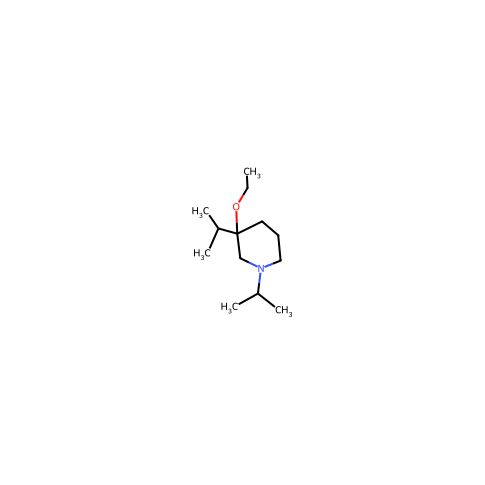 CCOC1(C(C)C)CCCN(C(C)C)C1